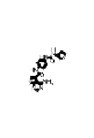 Nc1ncnc2scc(C(=O)Nc3ccc(NC(=O)Nc4ccsc4)cc3)c12